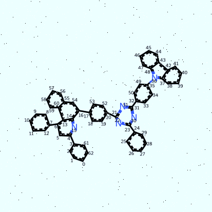 c1ccc(-c2cc(-c3ccccc3)c3c(n2)c(-c2ccc(-c4nc(-c5ccccc5)nc(-c5ccc(-n6c7ccccc7c7ccccc76)cc5)n4)cc2)cc2ccccc23)cc1